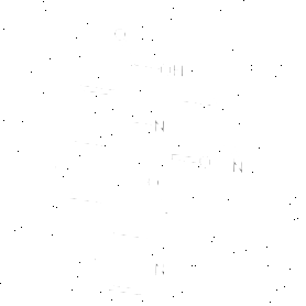 C=C(C#N)CN(C(=O)OC(C)(C)C)c1c(C(=O)O)ccc2ccc(-c3cccnc3)cc12